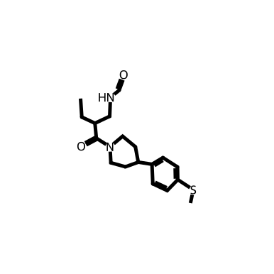 CCC(CNC=O)C(=O)N1CCC(c2ccc(SC)cc2)CC1